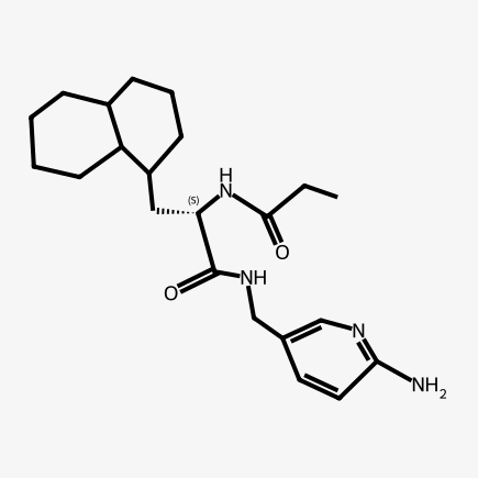 CCC(=O)N[C@@H](CC1CCCC2CCCCC21)C(=O)NCc1ccc(N)nc1